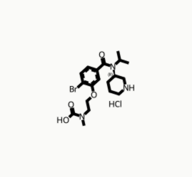 CC(C)N(C(=O)c1ccc(Br)c(OCCN(C)C(=O)O)c1)[C@@H]1CCCNC1.Cl